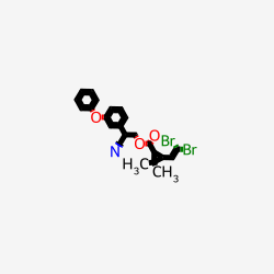 CC1(C)C(C=C(Br)Br)C1C(=O)OCC(C#N)c1cccc(Oc2ccccc2)c1